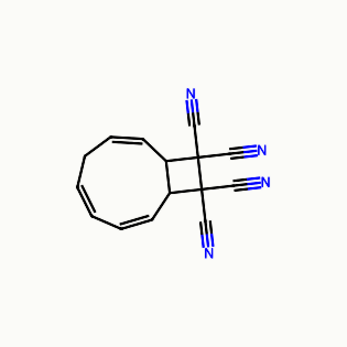 N#CC1(C#N)C2C=CC=CCC=CC2C1(C#N)C#N